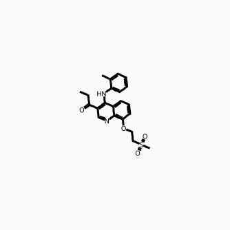 CCC(=O)c1cnc2c(OCCS(C)(=O)=O)cccc2c1Nc1ccccc1C